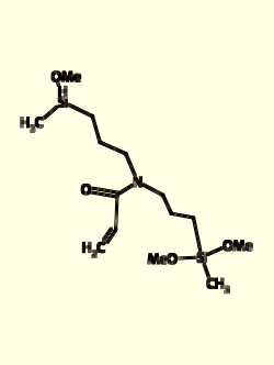 C=CC(=O)N(CCC[SiH](C)OC)CCC[Si](C)(OC)OC